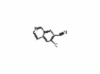 N#Cc1cc2cnccc2cc1Cl